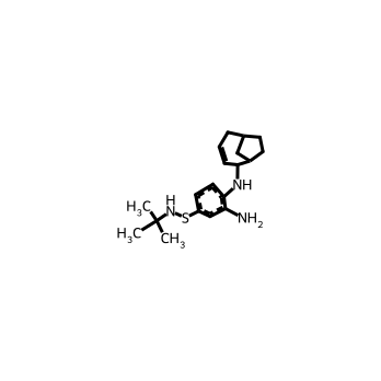 CC(C)(C)NSc1ccc(NC2C=CCC3CCC2C3)c(N)c1